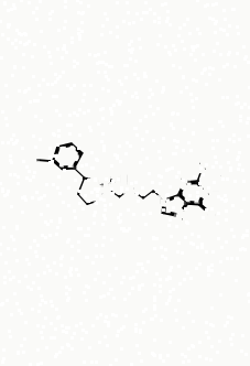 Nc1nc2c(ncn2CCOC[P]2(O)OCCC(c3cccc(Cl)c3)O2)c(=O)[nH]1